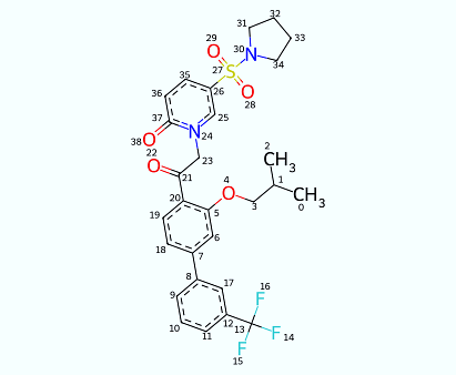 CC(C)COc1cc(-c2cccc(C(F)(F)F)c2)ccc1C(=O)Cn1cc(S(=O)(=O)N2CCCC2)ccc1=O